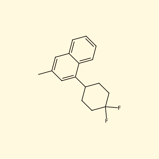 Cc1cc(C2CCC(F)(F)CC2)c2ccccc2c1